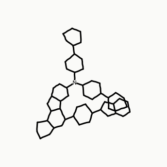 C1CCC(C2CCC(N(C3CCC(C4CCCCC4)CC3)C3CCC4CC5C6CCCCC6CC(C6CCC(C7CC8CCCCC8C7)CC6)C5C4C3)CC2)CC1